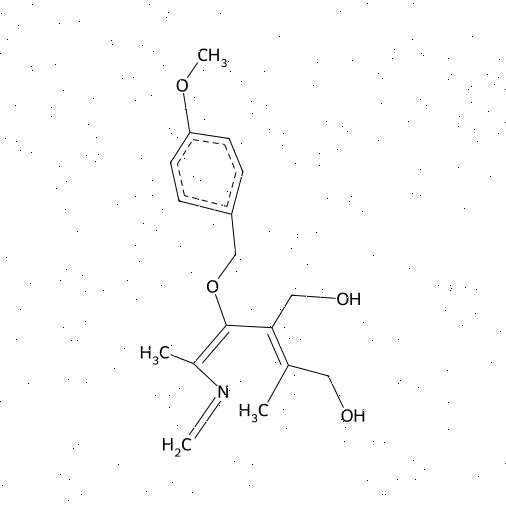 C=N/C(C)=C(OCc1ccc(OC)cc1)\C(CO)=C(/C)CO